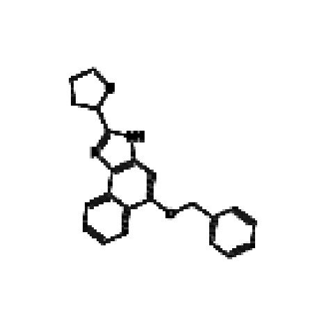 c1ccc(COc2cc3[nH]c(C4CCCO4)nc3c3ccccc23)cc1